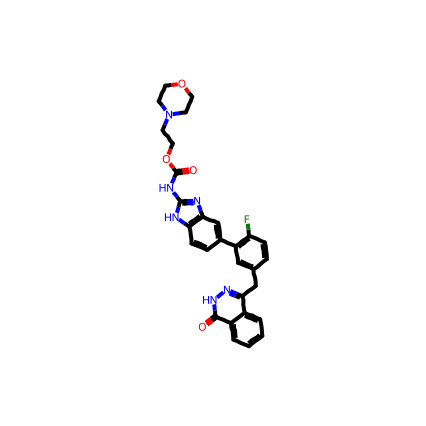 O=C(Nc1nc2cc(-c3cc(Cc4n[nH]c(=O)c5ccccc45)ccc3F)ccc2[nH]1)OCCN1CCOCC1